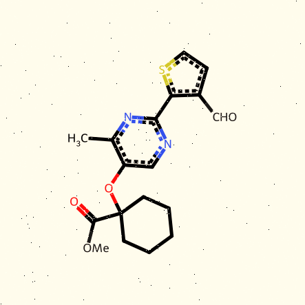 COC(=O)C1(Oc2cnc(-c3sccc3C=O)nc2C)CCCCC1